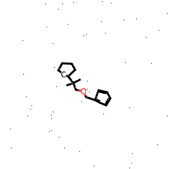 CC(C)(COCc1ccccc1)C1CCCCC1